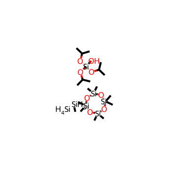 CC(C)O[Si](O)(OC(C)C)OC(C)C.C[SiH3].C[Si]1(C)O[Si](C)(C)O[Si](C)(C)O[Si](C)(C)O1.[SiH4]